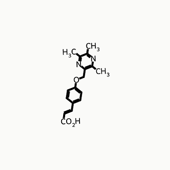 Cc1nc(C)c(COc2ccc(/C=C/C(=O)O)cc2)nc1C